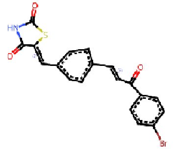 O=C1NC(=O)/C(=C/c2ccc(/C=C/C(=O)c3ccc(Br)cc3)cc2)S1